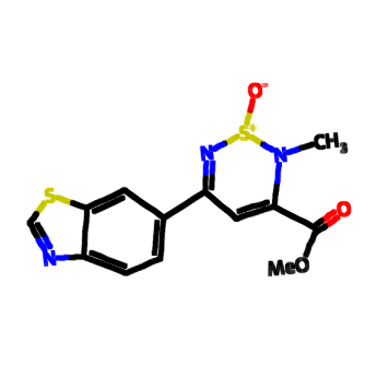 COC(=O)C1=CC(c2ccc3ncsc3c2)=N[S+]([O-])N1C